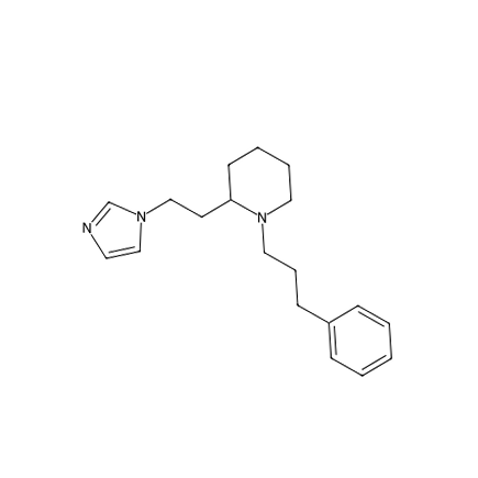 c1ccc(CCCN2CCCCC2CCn2ccnc2)cc1